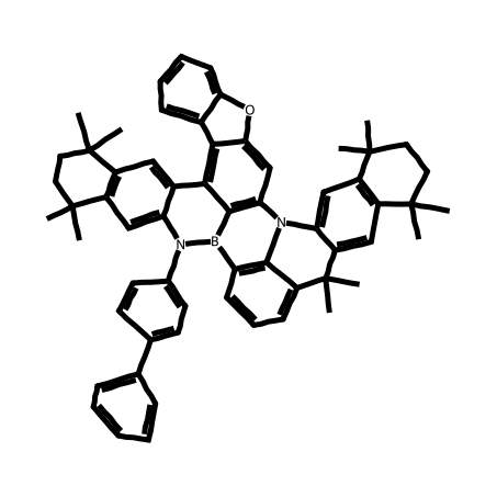 CC1(C)CCC(C)(C)c2cc3c(cc21)-c1c2c(cc4oc5ccccc5c14)N1c4cc5c(cc4C(C)(C)c4cccc(c41)B2N3c1ccc(-c2ccccc2)cc1)C(C)(C)CCC5(C)C